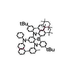 Cc1ccc(-c2ccccc2)cc1N1c2cc(C(C)(C)C)ccc2B2c3cc4c(cc3N(c3ccc(C(C)(C)C)cc3-c3ccc5c(c3)C(C)(C)CCC5(C)C)c3cc(N(c5ccccc5)c5ccccc5)cc1c32)C(C)(C)CCC4(C)C